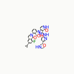 O=c1[nH]ccc2c1c(Nc1ccc(C3CNCCO3)cn1)nn2-c1cccc(-n2ccc3cc(C4CC4)cc(F)c3c2=O)c1CO